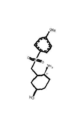 CSc1ccc(S(=O)(=O)CC2CC(O)CC[C@@H]2N)cc1